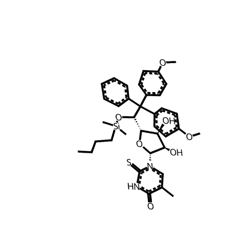 CCCC[Si](C)(C)OC([C@H]1O[C@@H](n2cc(C)c(=O)[nH]c2=S)[C@H](O)[C@@H]1O)C(c1ccccc1)(c1ccc(OC)cc1)c1ccc(OC)cc1